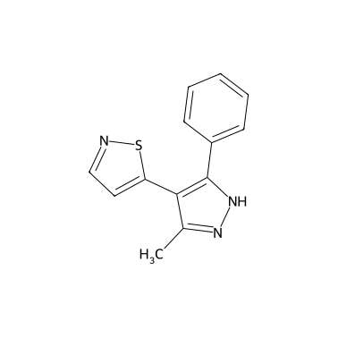 Cc1n[nH]c(-c2ccccc2)c1-c1ccns1